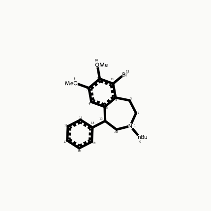 CCCCN1CCc2c(cc(OC)c(OC)c2Br)C(c2ccccc2)C1